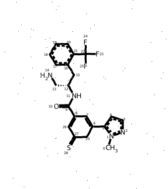 Cn1nccc1C1=CC(C(=O)N[C@H](CN)Cc2ccccc2C(F)(F)F)=CC(=S)C1